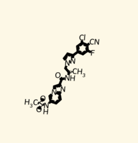 C[C@@H](Cn1ccc(-c2cc(F)c(C#N)c(Cl)c2)n1)NC(=O)c1cn2cc(NS(C)(=O)=O)ccc2n1